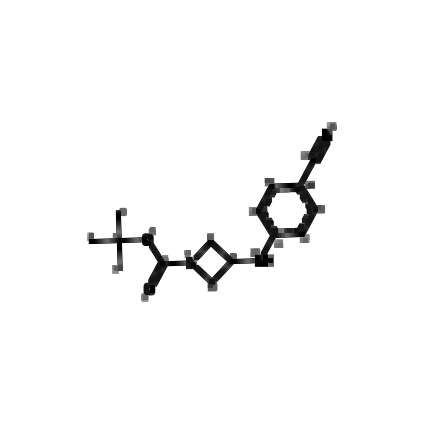 CC(C)(C)OC(=O)N1CC(Nc2ccc(C#N)cc2)C1